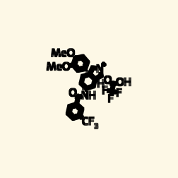 COc1ccc([C@@]23CC[C@@H](NC(=O)c4cccc(C(F)(F)F)c4)C[C@@H]2CN(C)C3)cc1OC.O=C(O)C(F)(F)F